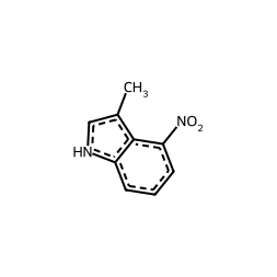 Cc1c[nH]c2cccc([N+](=O)[O-])c12